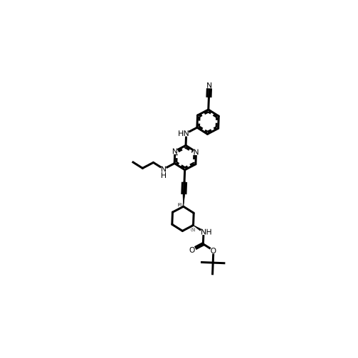 CCCNc1nc(Nc2cccc(C#N)c2)ncc1C#C[C@@H]1CCC[C@H](NC(=O)OC(C)(C)C)C1